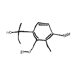 CCOc1c(C(C)(C)O)ccc(NC)c1C